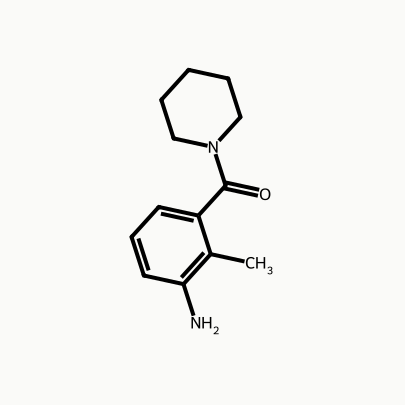 Cc1c(N)cccc1C(=O)N1CCCCC1